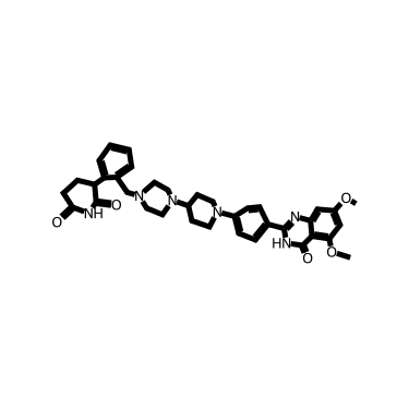 COc1cc(OC)c2c(=O)[nH]c(-c3ccc(N4CCC(N5CCN(Cc6ccccc6C6CCC(=O)NC6=O)CC5)CC4)cc3)nc2c1